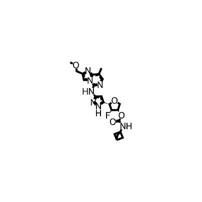 COCc1cn2c(Nc3cc([C@@H]4OC[C@H](OC(=O)NC56CC(C5)C6)[C@@H]4F)[nH]n3)ncc(C)c2n1